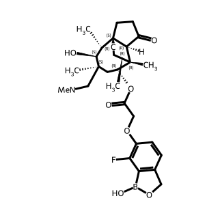 CNC[C@]1(C)C[C@@H](OC(=O)COc2ccc3c(c2F)B(O)OC3)[C@]2(C)[C@H](C)CC[C@]3(CCC(=O)[C@H]32)[C@@H](C)[C@@H]1O